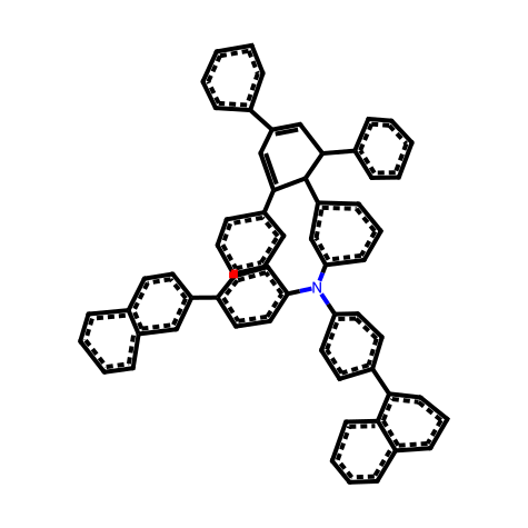 C1=C(c2ccccc2)C=C(c2ccccc2)C(c2cccc(N(c3ccc(-c4ccc5ccccc5c4)cc3)c3ccc(-c4cccc5ccccc45)cc3)c2)C1c1ccccc1